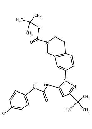 CC(C)(C)OC(=O)N1CCc2ccc(-n3nc(C(C)(C)C)cc3NC(=O)Nc3ccc(Cl)cc3)cc2C1